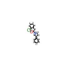 O=C(Cc1ccccc1Cl)N1CCC(c2ccccc2)C1